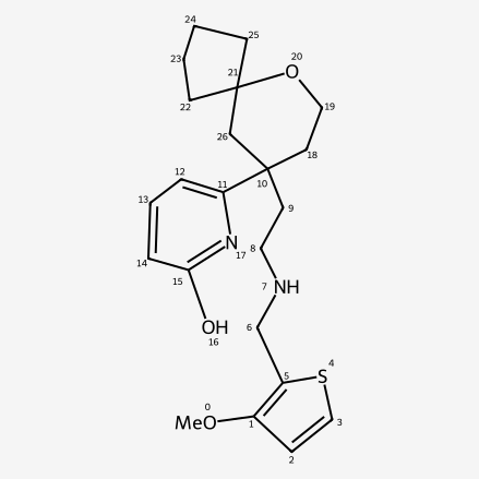 COc1ccsc1CNCCC1(c2cccc(O)n2)CCOC2(CCCC2)C1